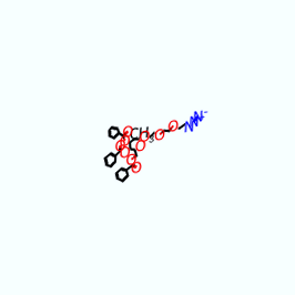 CC1C(OCCOCCOCCN=[N+]=[N-])OC(COC(=O)c2ccccc2)C(OC(=O)c2ccccc2)C1OC(=O)c1ccccc1